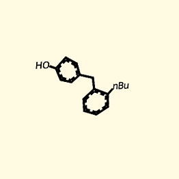 CCCCc1ccccc1Cc1ccc(O)cc1